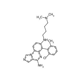 Cc1cccc(Cl)c1-c1c(NCCCCN(C)C)ccc2c1nc(N)c1cncn12